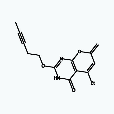 C=C1C=C(CC)c2c(nc(OCCC#CC)[nH]c2=O)O1